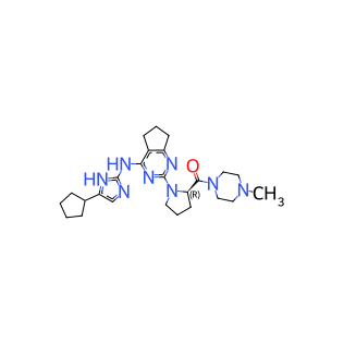 CN1CCN(C(=O)[C@H]2CCCN2c2nc3c(c(Nc4ncc(C5CCCC5)[nH]4)n2)CCC3)CC1